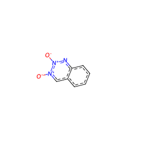 [O-][n+]1cc2ccccc2n[n+]1[O-]